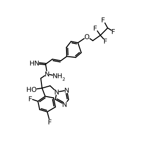 N=C(/C=C/c1ccc(OCC(F)(F)C(F)F)cc1)N(N)CC(O)(Cn1cncn1)c1ccc(F)cc1F